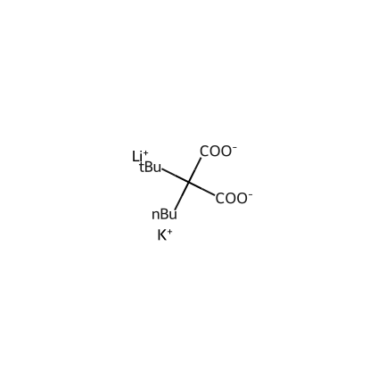 CCCCC(C(=O)[O-])(C(=O)[O-])C(C)(C)C.[K+].[Li+]